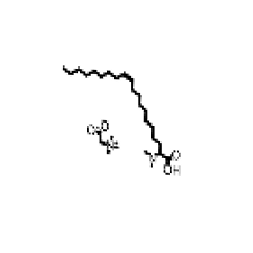 CCCCCCCC/C=C\CCCCCCCCC(C(=O)O)N(C)C.C[N+](C)(C)CC(=O)[O-]